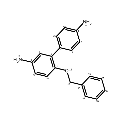 Nc1ccc(-c2cc(N)ccc2OCc2ccccc2)cc1